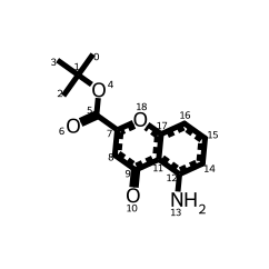 CC(C)(C)OC(=O)c1cc(=O)c2c(N)cccc2o1